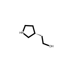 OCC[C@H]1CCNC1